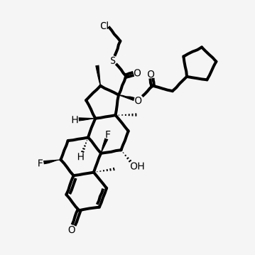 C[C@@H]1C[C@H]2[C@@H]3C[C@H](F)C4=CC(=O)C=C[C@]4(C)[C@@]3(F)[C@@H](O)C[C@]2(C)[C@@]1(OC(=O)CC1CCCC1)C(=O)SCCl